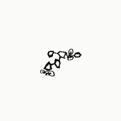 CS(=O)(=O)c1cccc(-c2cccc(C3CN(S(=O)(=O)c4ccccc4)CCC3c3ccccc3)c2)c1